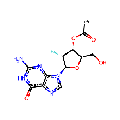 CC(C)C(=O)O[C@H]1[C@@H](F)[C@H](n2cnc3c(=O)[nH]c(N)nc32)O[C@@H]1CO